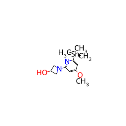 COc1cc(N2CC(O)C2)n[c]([Sn]([CH3])([CH3])[CH3])c1